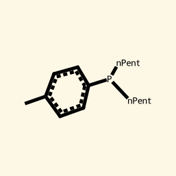 CCCCCP(CCCCC)c1ccc(C)cc1